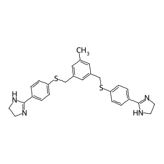 Cc1cc(CSc2ccc(C3=NCCN3)cc2)cc(CSc2ccc(C3=NCCN3)cc2)c1